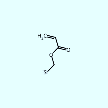 C=CC(=O)OC[Si]